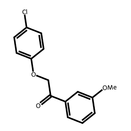 COc1cccc(C(=O)COc2ccc(Cl)cc2)c1